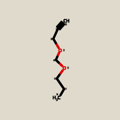 C#CCOCOCCC